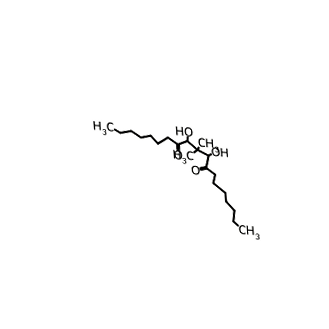 CCCCCCCC(=O)C(O)C(C)(C)C(O)C(=O)CCCCCCC